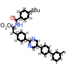 Cc1cccc(-c2ccc(-c3cnc(-c4ccc(C[C@H](NC(=O)c5ccc(C(C)(C)C)cc5)C(=O)O)cc4)nc3)cc2)c1